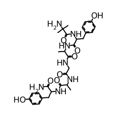 CC(NC(=O)CNC(=O)C(C)NC(=O)C(Cc1ccc(O)cc1)NC(=O)C(C)(C)N)C(=O)NC(Cc1ccc(O)cc1)C(N)=O